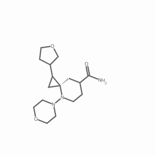 NC(=O)C1CCN(N2CCOCC2)[C@@]2(C1)CC2C1CCOC1